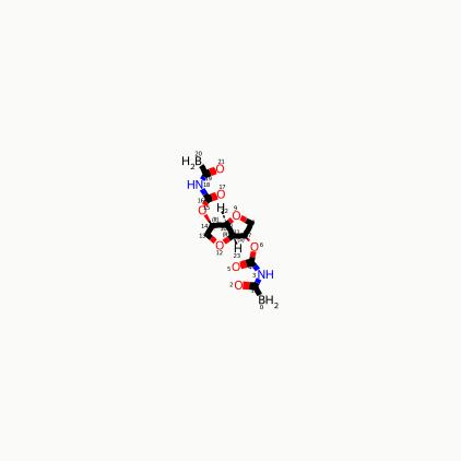 BC(=O)NC(=O)O[C@H]1CO[C@H]2[C@@H]1OC[C@H]2OC(=O)NC(B)=O